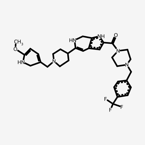 COC1=CC=C(CN2CCC(C3=Cc4cc(C(=O)N5CCN(Cc6ccc(C(F)(F)F)cc6)CC5)[nH]c4CN3)CC2)CN1